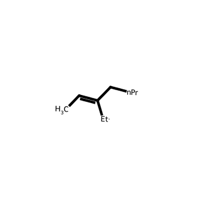 C[CH]/C(=C\C)CCCC